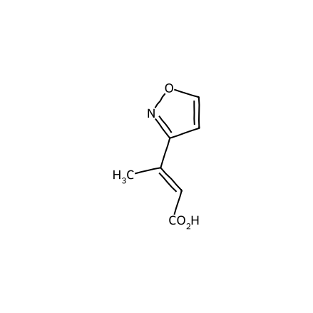 CC(=CC(=O)O)c1ccon1